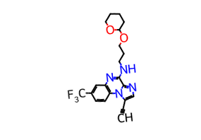 C#Cc1cnc2c(NCCCOC3CCCCO3)nc3cc(C(F)(F)F)ccc3n12